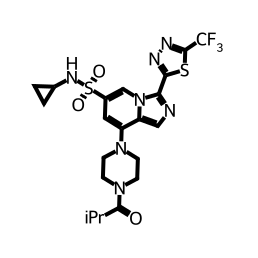 CC(C)C(=O)N1CCN(c2cc(S(=O)(=O)NC3CC3)cn3c(-c4nnc(C(F)(F)F)s4)ncc23)CC1